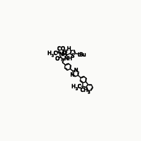 C[C@@H](NC(=O)[C@H](Cc1ccc(-c2ncc(-c3ccc4c(c3)C(C)(C)c3ccccc3-4)cn2)cc1)NC(=O)c1ccc(C(C)(C)C)s1)C(=O)O